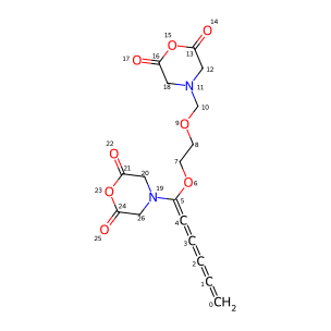 C=C=C=C=C=C(OCCOCN1CC(=O)OC(=O)C1)N1CC(=O)OC(=O)C1